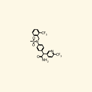 CS(=O)(=O)N(Cc1ccccc1C(F)(F)F)c1ccc(C(C(N)=O)c2ccc(C(F)(F)F)nc2)cc1